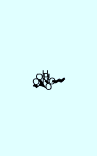 C=C[C@@H]1CC1(NC(=O)OCCCC)C(=O)O